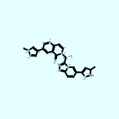 CC1C=C(c2ccc3nnc([C@@H](C)n4ccc5ncc(-c6cnn(C)c6)cc5c4=O)n3c2)ON1